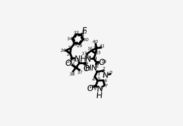 C/N=C/C(CC1CCNC1=O)NC(=O)C1C2C(CN1C(=O)C(NC(=O)C1CC1c1ccc(F)cc1)C(C)(C)C)C2(C)C